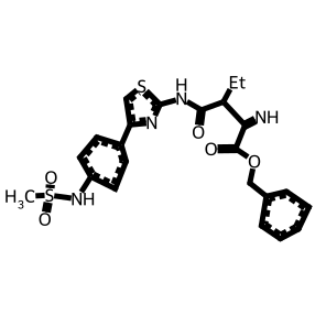 CCC(C(=N)C(=O)OCc1ccccc1)C(=O)Nc1nc(-c2ccc(NS(C)(=O)=O)cc2)cs1